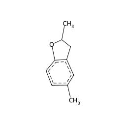 Cc1ccc2c(c1)CC(C)O2